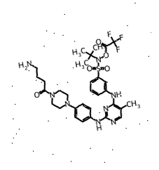 Cc1cnc(Nc2ccc(N3CCN(C(=O)CCCN)CC3)cc2)nc1Nc1cccc(S(=O)(=O)N(OC(=O)C(F)(F)F)C(C)(C)C)c1